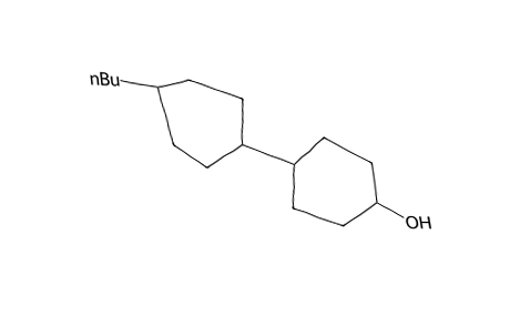 CCCCC1CCC(C2CCC(O)CC2)CC1